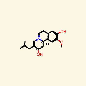 COc1cc2c(cc1O)CCN1CC(CC(C)C)[C@H](O)C[C@H]21